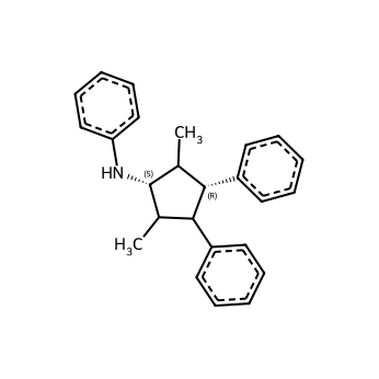 CC1C(c2ccccc2)[C@@H](c2ccccc2)C(C)[C@H]1Nc1ccccc1